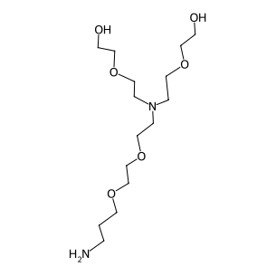 NCCCOCCOCCN(CCOCCO)CCOCCO